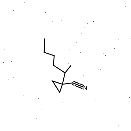 CCCCC(C)C1(C#N)CC1